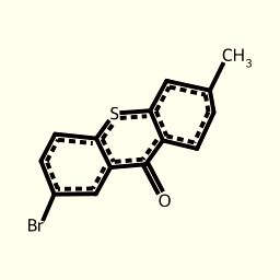 Cc1ccc2c(=O)c3cc(Br)ccc3sc2c1